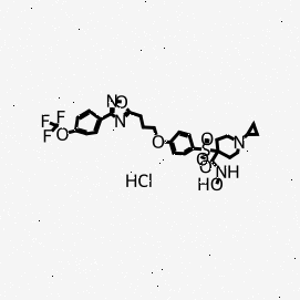 Cl.O=C(NO)C1(S(=O)(=O)c2ccc(OCCCc3nc(-c4ccc(OC(F)(F)F)cc4)no3)cc2)CCN(C2CC2)CC1